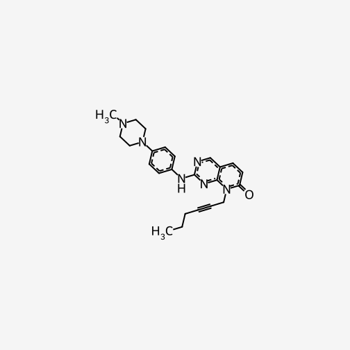 CCCC#CCn1c(=O)ccc2cnc(Nc3ccc(N4CCN(C)CC4)cc3)nc21